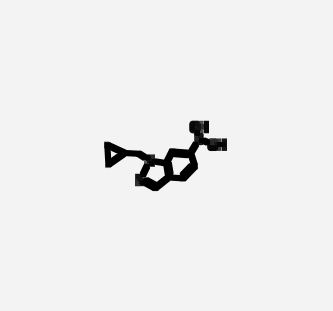 OB(O)c1ccc2cnn(CC3CC3)c2c1